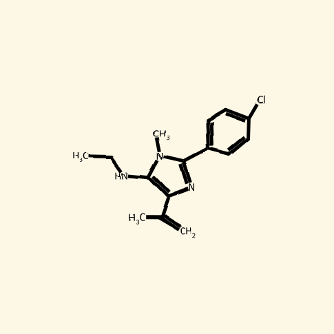 C=C(C)c1nc(-c2ccc(Cl)cc2)n(C)c1NCC